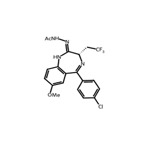 COc1ccc2c(c1)C(c1ccc(Cl)cc1)=N[C@@H](CC(F)(F)F)/C(=N/NC(C)=O)N2